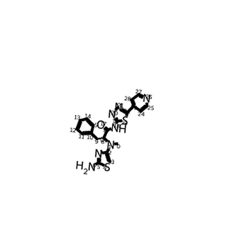 CN(c1csc(N)n1)[C@@H](Cc1ccccc1)C(=O)Nc1nnc(-c2ccncc2)s1